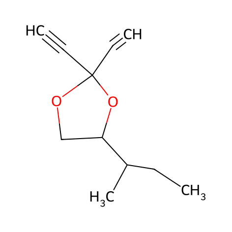 C#CC1(C#C)OCC(C(C)CC)O1